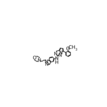 COc1ccccc1-c1ccc2cnc(Nc3ccc4c(cnn4CCN4CCOCC4)c3)nn12